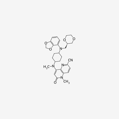 CN(c1cc(=O)n(C)c2ccc(C#N)nc12)C1CCC(N(C[C@@H]2COCCO2)c2cccc3c2OCO3)CC1